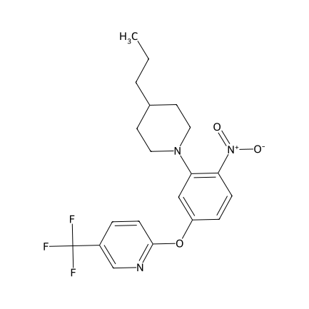 CCCC1CCN(c2cc(Oc3ccc(C(F)(F)F)cn3)ccc2[N+](=O)[O-])CC1